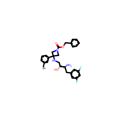 CC(C)c1cccc(C2(NC[C@@H](O)[C@@H](N)Cc3cc(F)cc(F)c3)CN(C(=O)OCc3ccccc3)C2)c1